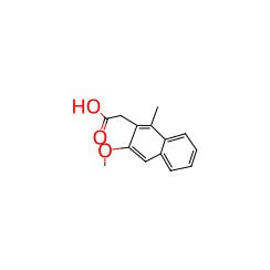 COc1cc2ccccc2c(C)c1CC(=O)O